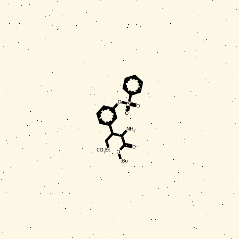 CCOC(=O)CC(c1cccc(OS(=O)(=O)c2ccccc2)c1)C(N)C(=O)OC(C)(C)C